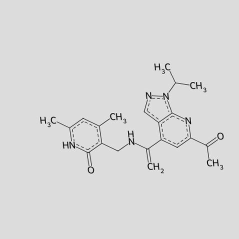 C=C(NCc1c(C)cc(C)[nH]c1=O)c1cc(C(C)=O)nc2c1cnn2C(C)C